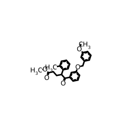 COC(=O)CCC(C(=O)c1cccc(OCc2cccc(OC)c2)c1)c1ccccc1C